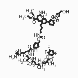 CCCN(CCC)C(=O)C1=Cc2c(CCCCNC(=O)OCc3ccc(NC(=O)[C@H](CCCNC(N)=O)NC(=O)[C@@H](NC(=O)CCC(C)(C)OCCC(C)(C)C(=O)Oc4c(F)c(F)cc(F)c4F)C(C)C)cc3)cc(-c3cccc(S(=O)(=O)N4CC(CO)C4)c3)cc2N=C(N)C1